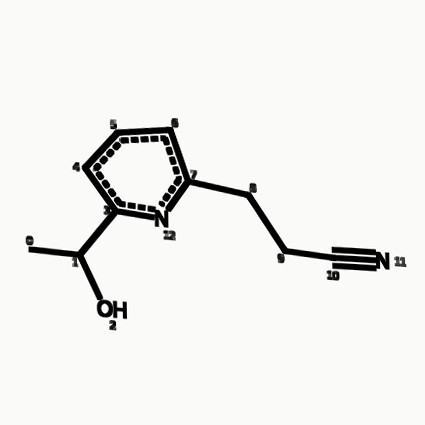 CC(O)c1cccc(CCC#N)n1